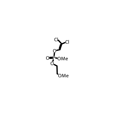 COCCOP(=O)(OC)OC=C(Cl)Cl